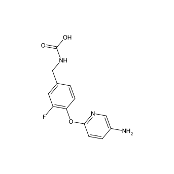 Nc1ccc(Oc2ccc(CNC(=O)O)cc2F)nc1